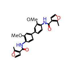 COc1cc(-c2ccc(NC(=O)c3ccoc3C)c(OC)c2)ccc1NC(=O)c1ccoc1C